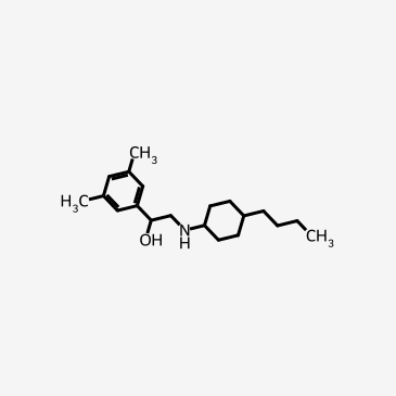 CCCCC1CCC(NCC(O)c2cc(C)cc(C)c2)CC1